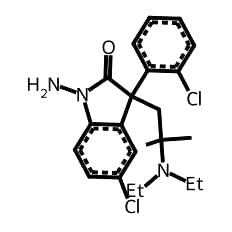 CCN(CC)C(C)(C)CC1(c2ccccc2Cl)C(=O)N(N)c2ccc(Cl)cc21